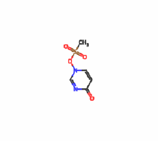 CS(=O)(=O)On1ccc(=O)nc1